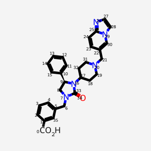 O=C(O)c1cccc(CN2C[C@@H](c3ccccc3)N(C3CCN(Cc4ccc5nccn5c4)CC3)C2=O)c1